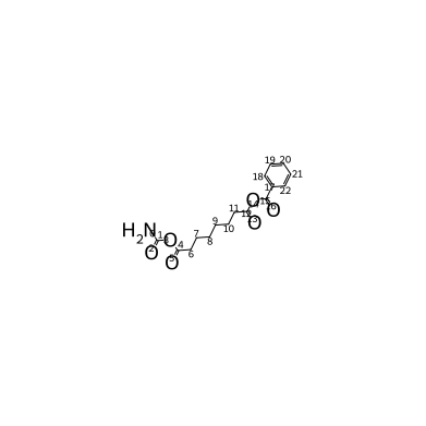 NC(=O)OC(=O)CCCCCCC(=O)OC(=O)c1ccccc1